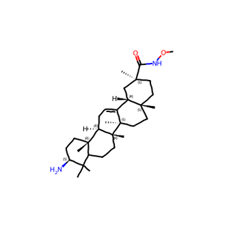 CONC(=O)[C@@]1(C)CC[C@]2(C)CC[C@]3(C)C(=CC[C@@H]4[C@@]5(C)CC[C@H](N)C(C)(C)C5CC[C@]43C)[C@@H]2C1